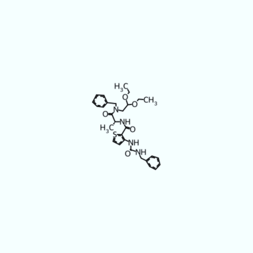 CCOC(CN(Cc1ccccc1)C(=O)[C@H](C)NC(=O)c1sccc1NC(=O)NCc1ccccc1)OCC